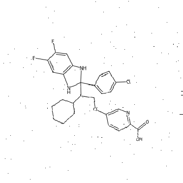 O=C(O)c1ccc(OCC(C2CCCCC2)C2(c3ccc(Cl)cc3)Nc3cc(F)c(F)cc3N2)cn1